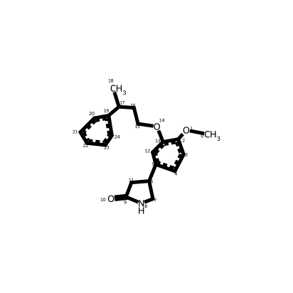 COc1ccc(C2CNC(=O)C2)cc1OCCC(C)c1ccccc1